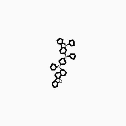 c1ccc(N(c2ccc(N(c3ccccc3)c3cccc4c3ccc3c5ccccc5oc43)cc2)c2ccc3c4ccccc4n(-c4ccccc4)c3c2)cc1